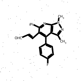 Cc1nn(C)c2nc(C(C)C)c(/C=C/C=O)c(-c3ccc(F)cc3)c12